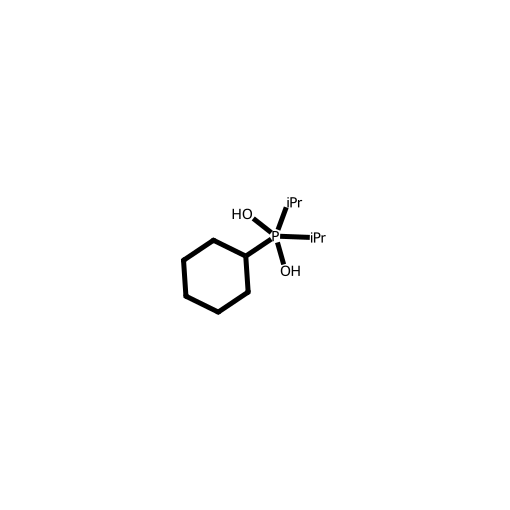 CC(C)P(O)(O)(C(C)C)C1CCCCC1